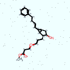 COC(=O)CCOCCC[C@@H]1C(O)CC2C(/C=C/CCc3ccccc3)C21